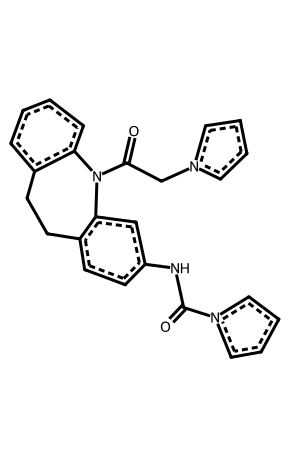 O=C(Cn1cccc1)N1c2ccccc2CCc2ccc(NC(=O)n3cccc3)cc21